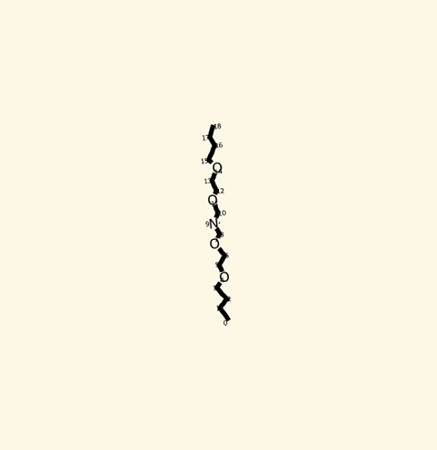 CCCCOCCOC[N]COCCOCCCC